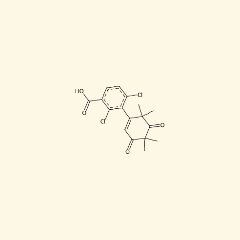 CC1(C)C(=O)C=C(c2c(Cl)ccc(C(=O)O)c2Cl)C(C)(C)C1=O